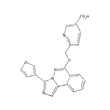 O=C(O)c1ccc(COc2nn3c(-c4ccoc4)ncc3c3ccccc23)nc1